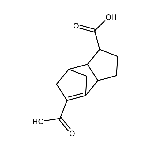 O=C(O)C1=C2CC(C1)C1C(C(=O)O)CCC21